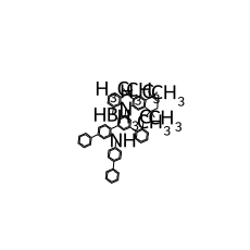 Cc1ccccc1-c1cc(-c2ccc(-c3ccccc3)cc2Nc2ccc(-c3ccccc3)cc2)c2c(c1)N1c3cc4c(cc3C(C)(C)c3cccc(c31)B2)C(C)(C)CCC4(C)C